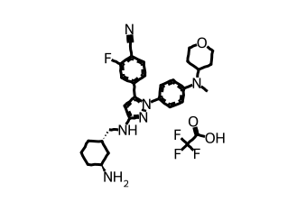 CN(c1ccc(-n2nc(NC[C@H]3CCC[C@H](N)C3)cc2-c2ccc(C#N)c(F)c2)cc1)C1CCOCC1.O=C(O)C(F)(F)F